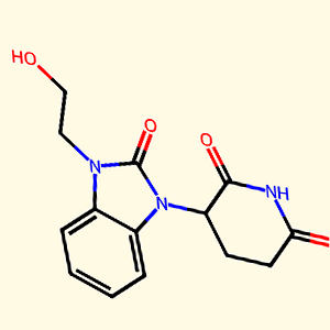 O=C1CCC(n2c(=O)n(CCO)c3ccccc32)C(=O)N1